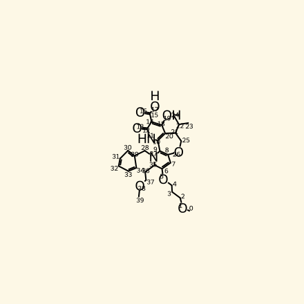 COCCCOC1=CC2=C(c3[nH]c(=O)c(C(=O)O)c(O)c3C(C(C)C)CO2)N(Cc2ccccc2)C1CCOC